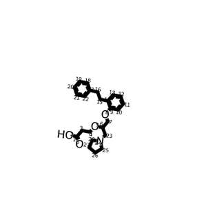 O=C(O)CCOC(COc1ccccc1CCc1ccccc1)CN1CCCC1